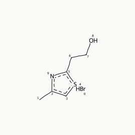 Br.Cc1csc(CCO)n1